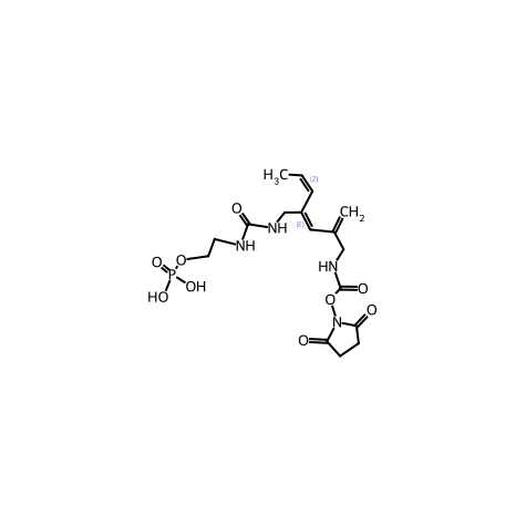 C=C(/C=C(\C=C/C)CNC(=O)NCCOP(=O)(O)O)CNC(=O)ON1C(=O)CCC1=O